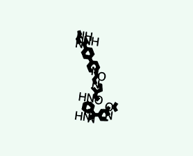 CN/C=N\C(=N)c1ccc(C2=CCN(C(=O)CN3CCC(C(=O)Nc4ccc5[nH]nc(-c6ccnc(OC(C)C)c6)c5c4)C3)CC2)cc1